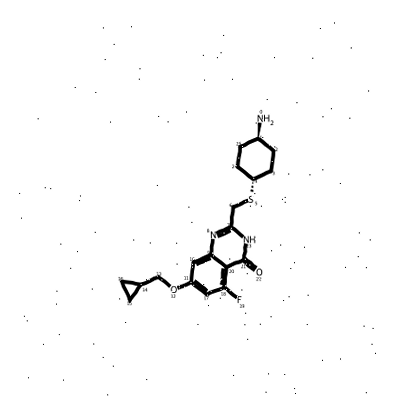 N[C@H]1CC[C@H](SCc2nc3cc(OCC4CC4)cc(F)c3c(=O)[nH]2)CC1